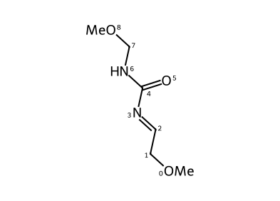 COCC=NC(=O)NCOC